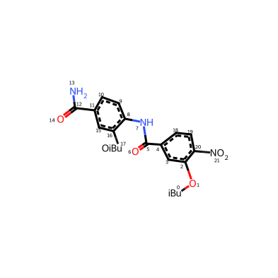 CCC(C)Oc1cc(C(=O)Nc2ccc(C(N)=O)cc2OCC(C)C)ccc1[N+](=O)[O-]